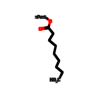 CCCCCOC(=O)CCCCCCCC(=O)O